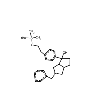 CC(C)(C)[Si](C)(C)OCCc1ccc(C2(O)CCC3CN(Cc4ccccc4)CC32)cc1